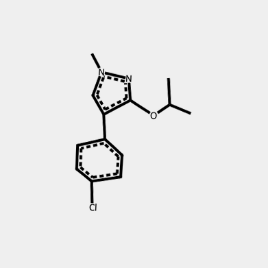 CC(C)Oc1nn(C)cc1-c1ccc(Cl)cc1